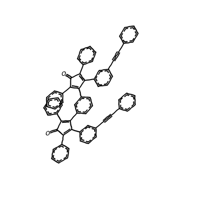 O=C1C(c2ccccc2)=C(c2cccc(C#Cc3ccccc3)c2)C(c2cccc(C3=C(c4ccccc4)C(=O)C(c4ccccc4)=C3c3cccc(C#Cc4ccccc4)c3)c2)=C1c1ccccc1